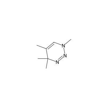 CC1=CN(C)N=NC1(C)C